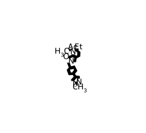 CCc1ccc2c([n+]1C(C)C(C)=O)C(=O)N(Cc1ccc(-c3cnn(C)c3)cc1)C2